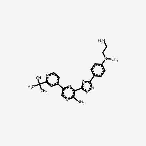 CN(CCN)c1ccc(-c2nnc(-c3nc(-c4ccnc(C(C)(C)C#N)c4)cnc3N)o2)cc1